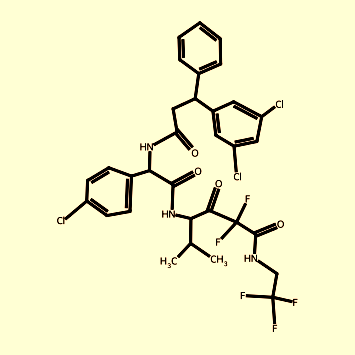 CC(C)C(NC(=O)C(NC(=O)CC(c1ccccc1)c1cc(Cl)cc(Cl)c1)c1ccc(Cl)cc1)C(=O)C(F)(F)C(=O)NCC(F)(F)F